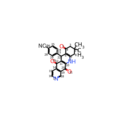 CC1(C)CC(=O)C2=C(C1)NC1=C(C(=O)c3ccncc3C1=O)C2c1ccc(C#N)cc1